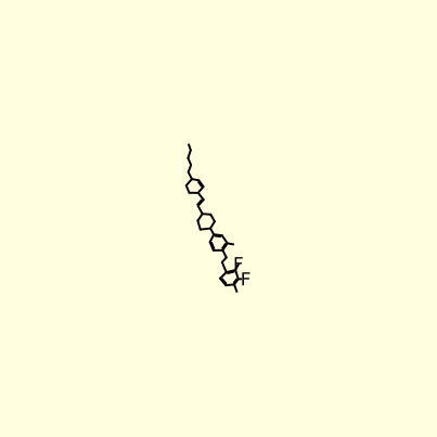 CCCCCC1C=CC(/C=C/C2CCC(c3ccc(CCc4ccc(C)c(F)c4F)c(C)c3)CC2)CC1